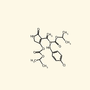 C=C(C1=C(OC(=O)OC(C)C)CNC1=O)N(Nc1ccc(Cl)cc1)C(=O)OC(C)C